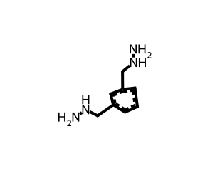 NNCc1cccc(CNN)c1